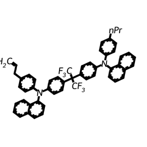 C=CCc1ccc(N(c2ccc(C(c3ccc(N(c4ccc(CCC)cc4)c4cccc5ccccc45)cc3)(C(F)(F)F)C(F)(F)F)cc2)c2cccc3ccccc23)cc1